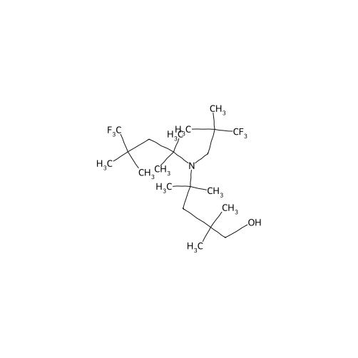 CC(C)(CO)CC(C)(C)N(CC(C)(C)C(F)(F)F)C(C)(C)CC(C)(C)C(F)(F)F